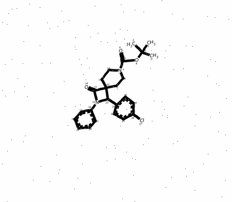 CC(C)(C)OC(=O)N1CCC2(CC1)C(=O)N(c1ccccc1)C2c1ccc(Cl)cc1